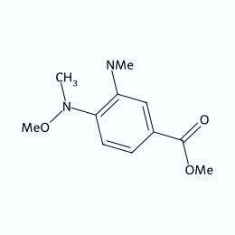 CNc1cc(C(=O)OC)ccc1N(C)OC